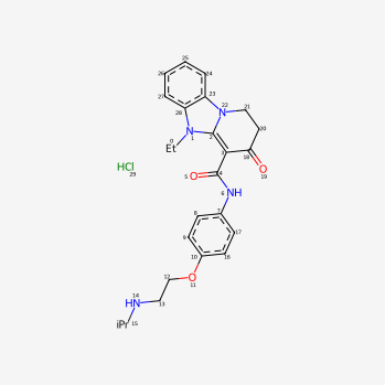 CCN1C2=C(C(=O)Nc3ccc(OCCNC(C)C)cc3)C(=O)CCN2c2ccccc21.Cl